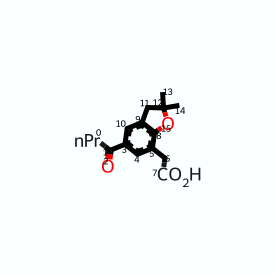 CCCC(=O)c1cc(CC(=O)O)c2c(c1)CC(C)(C)O2